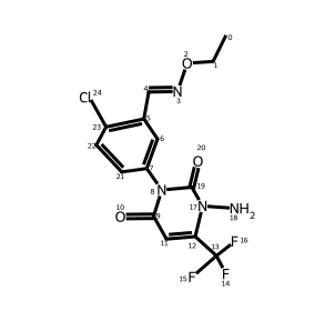 CCON=Cc1cc(-n2c(=O)cc(C(F)(F)F)n(N)c2=O)ccc1Cl